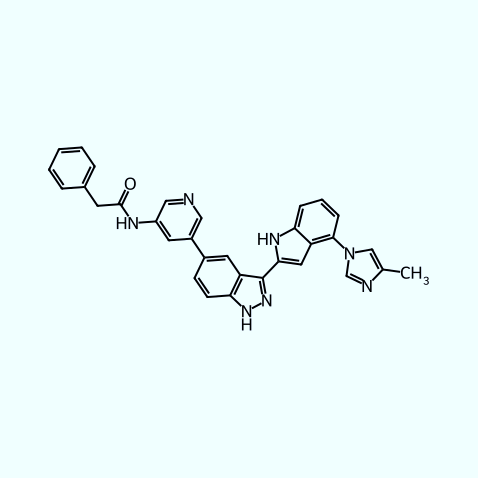 Cc1cn(-c2cccc3[nH]c(-c4n[nH]c5ccc(-c6cncc(NC(=O)Cc7ccccc7)c6)cc45)cc23)cn1